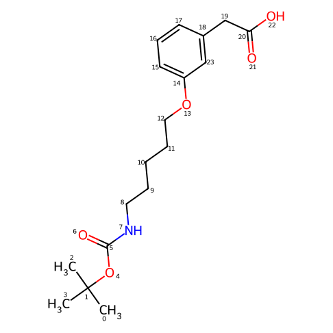 CC(C)(C)OC(=O)NCCCCCOc1cccc(CC(=O)O)c1